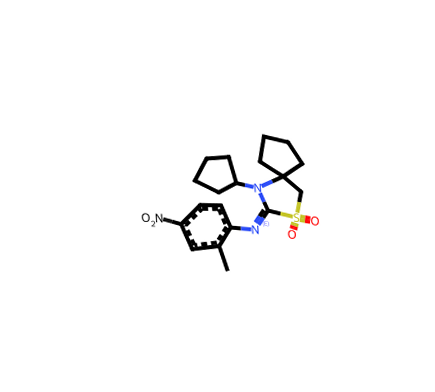 Cc1cc([N+](=O)[O-])ccc1/N=C1\N(C2CCCC2)C2(CCCC2)CS1(=O)=O